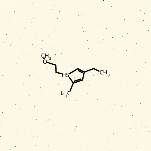 CCC1=C[SH](CCOC)C(C)=C1